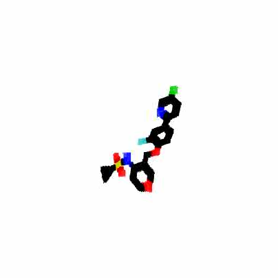 O=S(=O)(N[C@H]1CCOC[C@@H]1COc1ccc(-c2ccc(Cl)cn2)cc1F)C1CC1